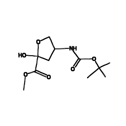 COC(=O)C1(O)CC(NC(=O)OC(C)(C)C)CO1